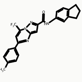 Cc1ccc(-c2cc(C(F)(F)F)n3nc(C(=O)Nc4ccc5c(c4)CCC5)cc3n2)cc1